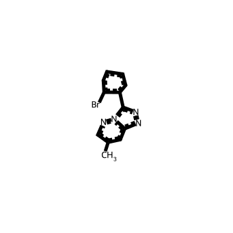 Cc1cnn2c(-c3ccccc3Br)nnc2c1